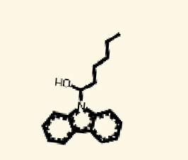 CCCCCC(O)n1c2ccccc2c2ccccc21